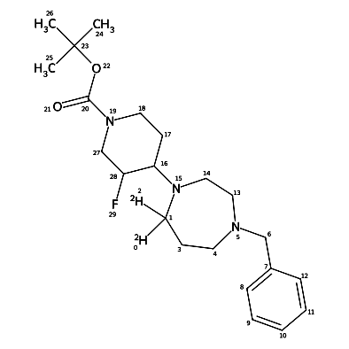 [2H]C1([2H])CCN(Cc2ccccc2)CCN1C1CCN(C(=O)OC(C)(C)C)CC1F